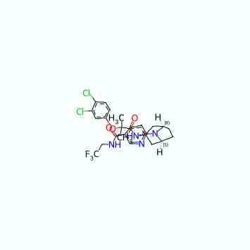 CC(C)(Oc1ccc(Cl)c(Cl)c1)C(=O)N[C@H]1C[C@H]2CC[C@@H](C1)N2c1ccc(C(=O)NCC(F)(F)F)cn1